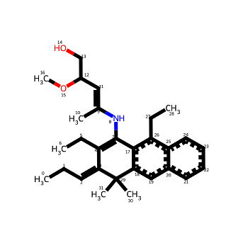 CC/C=C1\C(CC)=C(N/C(C)=C/C(CO)OC)c2c(cc3ccccc3c2CC)C1(C)C